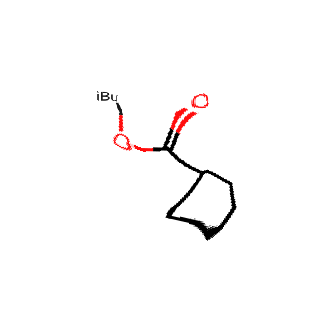 CCC(C)OC(=O)C1CCC1